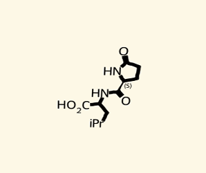 CC(C)CC(NC(=O)[C@@H]1CCC(=O)N1)C(=O)O